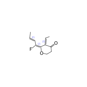 C\C=C1/C(=O)CCO/C1=C(F)/C=C/C